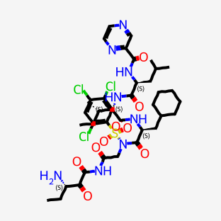 CC[C@H](N)C(=O)C(=O)NC(=O)CN(C(=O)[C@H](CC1CCCCC1)NC(=O)[C@@H](NC(=O)[C@H](CC(C)C)NC(=O)c1cnccn1)[C@@H](C)CC)S(=O)(=O)c1cc(Cl)c(Cl)cc1Cl